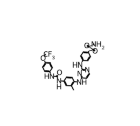 Cc1cc(NC(=O)Nc2ccc(OC(F)(F)F)cc2)ccc1Nc1ccnc(Nc2ccc(S(N)(=O)=O)cc2)n1